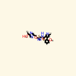 COc1cccc(F)c1-c1cc(C)ncc1C(=O)Nc1nnc(OCc2cnc(C(C)O)cn2)s1